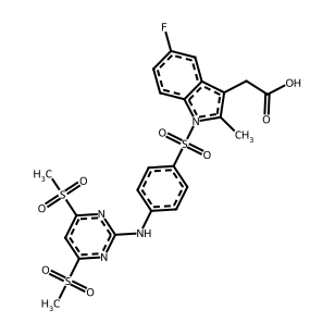 Cc1c(CC(=O)O)c2cc(F)ccc2n1S(=O)(=O)c1ccc(Nc2nc(S(C)(=O)=O)cc(S(C)(=O)=O)n2)cc1